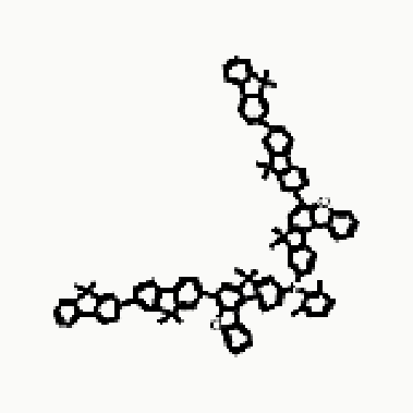 Cc1cccc(C)c1N(c1ccc2c(c1)C(C)(C)C1=C2C2c3ccccc3OC2C(c2ccc3c(c2)C(C)(C)c2cc(-c4ccc5c(c4)C(C)(C)c4ccccc4-5)ccc2-3)=C1)c1ccc2c(c1)C(C)(C)c1cc(-c3ccc4c(c3)C(C)(C)c3cc(-c5ccc6c(c5)C(C)(C)c5ccccc5-6)ccc3-4)c3oc4ccccc4c3c1-2